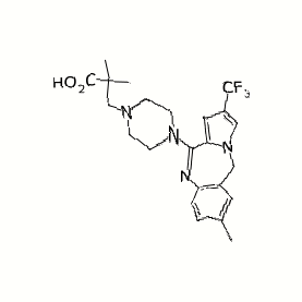 Cc1ccc2c(c1)Cn1cc(C(F)(F)F)cc1C(N1CCN(CC(C)(C)C(=O)O)CC1)=N2